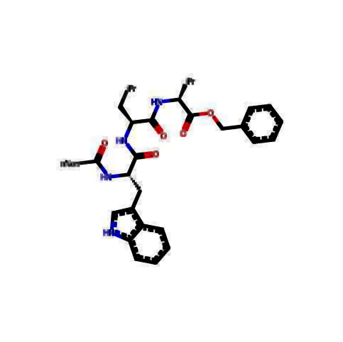 CCCCCCCCCC(=O)N[C@@H](Cc1c[nH]c2ccccc12)C(=O)N[C@@H](CC(C)C)C(=O)N[C@H](C(=O)OCc1ccccc1)C(C)C